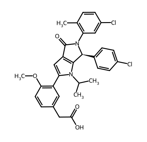 COc1ccc(CC(=O)O)cc1-c1cc2c(n1C(C)C)[C@H](c1ccc(Cl)cc1)N(c1cc(Cl)ccc1C)C2=O